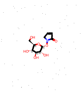 O=C1C=CCN1O[C@H]1O[C@H](CO)[C@@H](O)[C@H](O)[C@H]1O